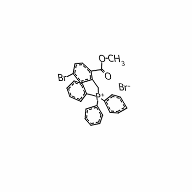 COC(=O)c1ccc(Br)cc1C[P+](c1ccccc1)(c1ccccc1)c1ccccc1.[Br-]